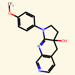 OC12CCN(c3ccc(OC(F)(F)F)cc3)C1=Nc1cnccc1C2